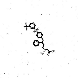 CN(CCC(Oc1ccc(S(=O)(=O)c2cccc(C(F)(F)F)c2)cc1)c1ccccc1)CC(=O)O